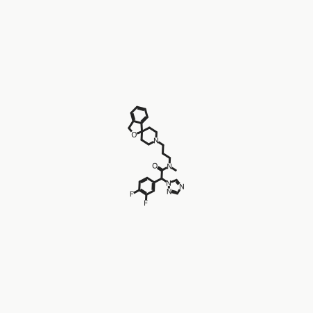 CN(CCCN1CCC2(CC1)OCc1ccccc12)C(=O)C(c1ccc(F)c(F)c1)n1cncn1